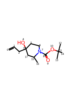 C=CCC1(O)CCN(C(=O)OC(C)(C)C)C(C)C1